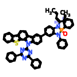 C=C/C=C(\C=C/C)N1c2ccc(-c3ccc4c(c3)c3ccc5c6ccccc6sc5c3n4-c3nc(-c4ccccc4)nc(-c4ccccc4)n3)cc2N(c2ccccc2)P1(=O)c1ccccc1